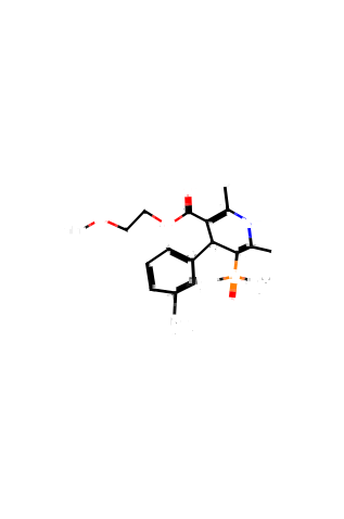 CCCOCCOC(=O)C1=C(C)NC(C)=C(P(=O)(OC)OC)C1c1cccc([N+](=O)[O-])c1